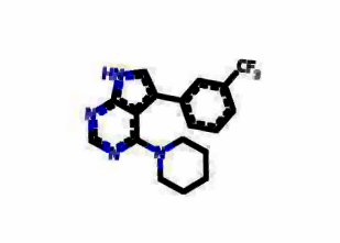 FC(F)(F)c1cccc(-c2c[nH]c3ncnc(N4CCCCC4)c23)c1